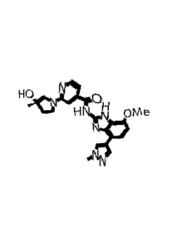 COc1ccc(-c2cnn(C)c2)c2nc(NC(=O)c3ccnc(N4CC[C@](C)(O)C4)c3)[nH]c12